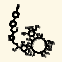 CC[C@H]1OC(=O)[C@H](C)[C@@H](C2C[C@@](C)(OC)[C@@H](O)[C@H](C)O2)[C@H](C)[C@@H](O[C@@H]2O[C@H](C)C[C@H](N(C)CCc3cn([C@H](CF)Cc4ccc(-c5ccc(C#N)nc5)cc4)nn3)[C@H]2O)[C@](C)(O)C[C@@H](C)CN(C)[C@H](C)[C@@H](O)[C@]1(C)O